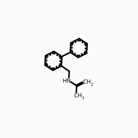 C=C(C)NCc1ccccc1-c1ccccc1